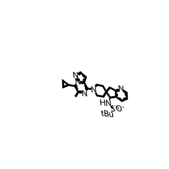 Cc1nc(N2CCC3(CC2)Cc2ncccc2[C@H]3N[S@+]([O-])C(C)(C)C)c2ccnn2c1C1CC1